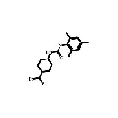 CCC(CC)C1CCC(NC(=O)Nc2c(C)cc(C)cc2C)CC1